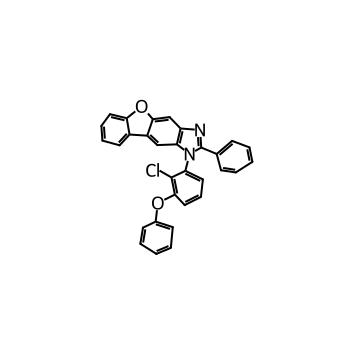 Clc1c(Oc2ccccc2)cccc1-n1c(-c2ccccc2)nc2cc3oc4ccccc4c3cc21